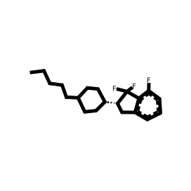 CCCCCC1CCC([C@H]2Cc3cccc(F)c3C2(F)F)CC1